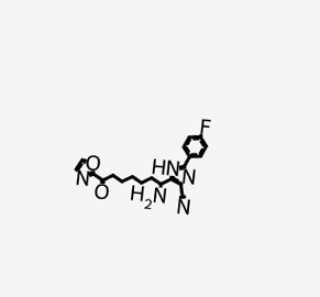 N#Cc1nc(-c2ccc(F)cc2)[nH]c1C(N)CCCCCC(=O)c1ncco1